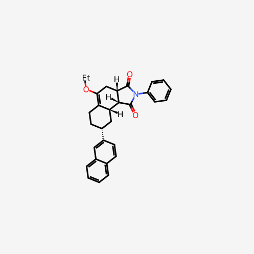 CCOC1=C2CC[C@@H](c3ccc4ccccc4c3)C[C@H]2[C@H]2C(=O)N(c3ccccc3)C(=O)[C@H]2C1